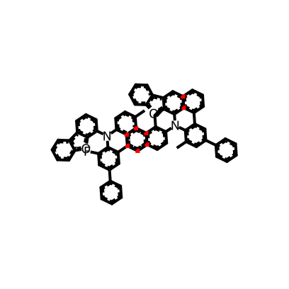 C=Cc1c(N(c2c(C)cc(-c3ccccc3)cc2-c2ccccc2)c2cccc3c2oc2ccccc23)ccc2ccc3c(N(c4c(F)cc(-c5ccccc5)cc4-c4ccccc4)c4cccc5c4oc4ccccc45)ccc(C)c3c12